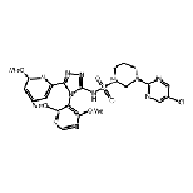 COc1cccc(-c2nnc(NS(=O)(=O)[C@H]3CCCN(c4ncc(Cl)cn4)C3)n2-c2c(OC)ncnc2OC)n1